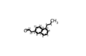 CCCc1cccc2cc(CC=O)ccc12